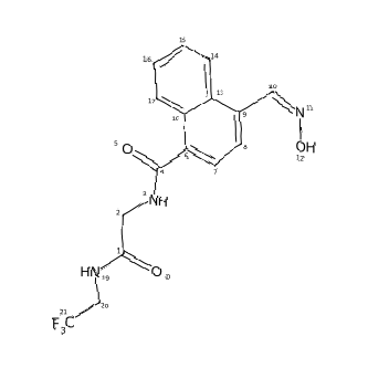 O=C(CNC(=O)c1ccc(/C=N\O)c2ccccc12)NCC(F)(F)F